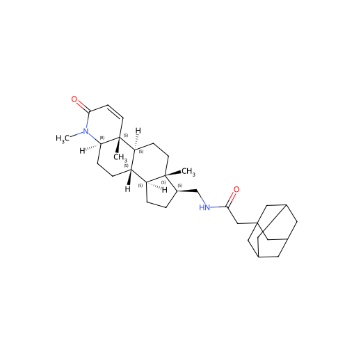 CN1C(=O)C=C[C@]2(C)[C@H]3CC[C@]4(C)[C@@H](CNC(=O)CC56CC7CC(CC(C7)C5)C6)CC[C@H]4[C@@H]3CC[C@@H]12